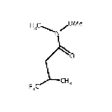 CON(C)C(=O)CC(C)C(F)(F)F